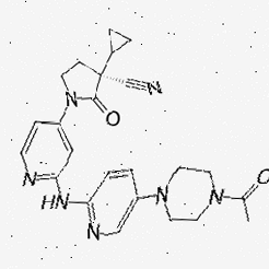 CC(=O)N1CCN(c2ccc(Nc3cc(N4CC[C@@](C#N)(C5CC5)C4=O)ccn3)nc2)CC1